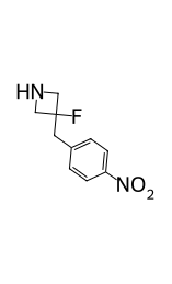 O=[N+]([O-])c1ccc(CC2(F)CNC2)cc1